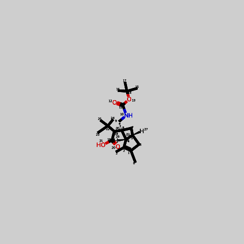 CC1=C(C)[C@H]2[C@@H](C1)C[C@]2(CNC(=O)OC(C)(C)C)C(C(=O)O)C(C)(C)C